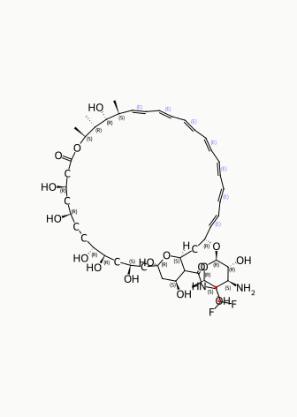 C[C@@H]1[C@H](O)[C@@H](C)/C=C/C=C/C=C/C=C/C=C/C=C/C=C/[C@H](O[C@@H]2O[C@H](C)[C@@H](O)[C@H](N)[C@H]2O)C[C@@H]2O[C@](O)(C[C@@H](O)C[C@@H](O)[C@H](O)CC[C@@H](O)C[C@@H](O)CC(=O)O[C@H]1C)C[C@H](O)C2C(=O)NCC(F)F